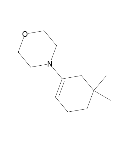 CC1(C)CCC=C(N2CCOCC2)C1